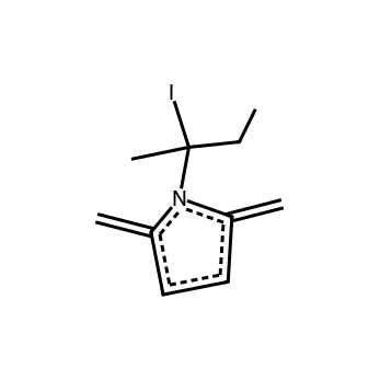 C=c1ccc(=C)n1C(C)(I)CC